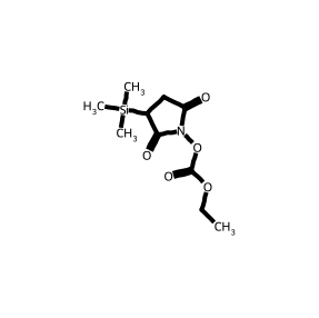 CCOC(=O)ON1C(=O)CC([Si](C)(C)C)C1=O